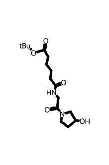 CC(C)(C)OC(=O)CCCCC(=O)NCC(=O)N1CCC(O)C1